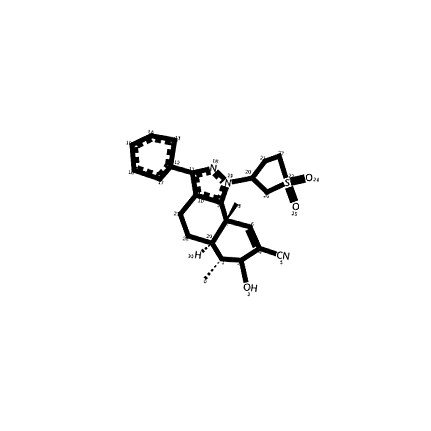 C[C@H]1C(O)C(C#N)=C[C@@]2(C)c3c(c(-c4ccccc4)nn3C3CCS(=O)(=O)C3)CC[C@H]12